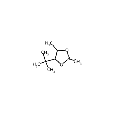 CB1OC(C)C(C(C)(C)C)O1